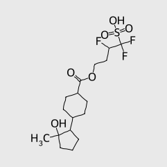 CC1(O)CCCC1C1CCC(C(=O)OCCC(F)C(F)(F)S(=O)(=O)O)CC1